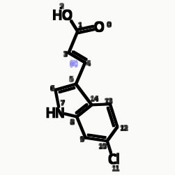 O=C(O)/C=C/c1c[nH]c2cc(Cl)ccc12